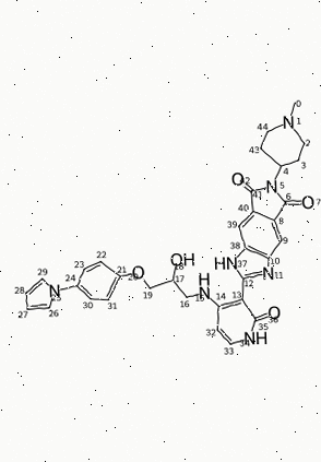 CN1CCC(N2C(=O)c3cc4nc(-c5c(NCC(O)COc6ccc(-n7cccc7)cc6)cc[nH]c5=O)[nH]c4cc3C2=O)CC1